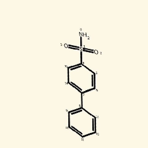 NS(=O)(=O)c1ccc(-c2cc[c]cc2)cc1